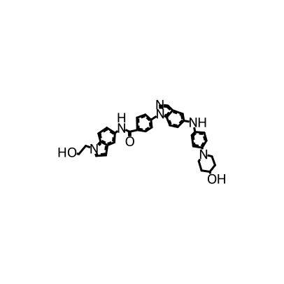 O=C(Nc1ccc2c(ccn2CCO)c1)c1ccc(-n2ncc3cc(Nc4ccc(N5CCC(O)CC5)cc4)ccc32)cc1